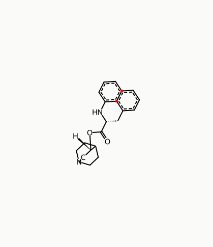 O=C(O[C@H]1CN2CCC1CC2)[C@@H](Cc1ccccc1)Nc1ccccc1